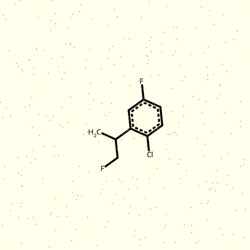 [CH2]C(CF)c1cc(F)ccc1Cl